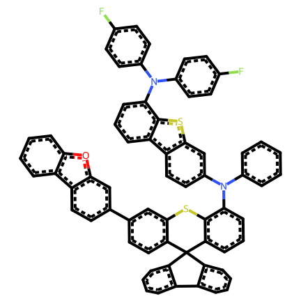 Fc1ccc(N(c2ccc(F)cc2)c2cccc3c2sc2cc(N(c4ccccc4)c4cccc5c4Sc4cc(-c6ccc7c(c6)oc6ccccc67)ccc4C54c5ccccc5-c5ccccc54)ccc23)cc1